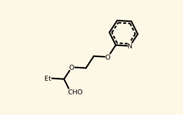 CCC(C=O)OCCOc1ccccn1